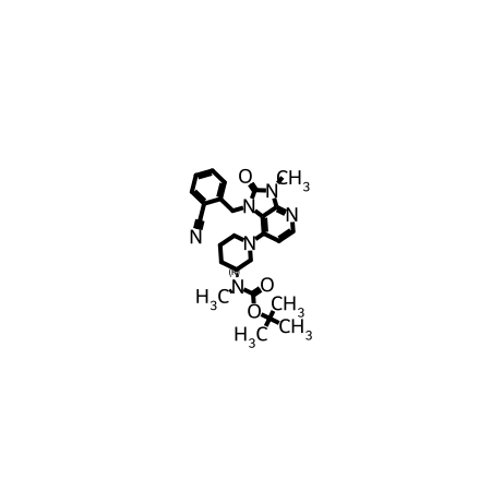 CN(C(=O)OC(C)(C)C)[C@@H]1CCCN(c2ccnc3c2n(Cc2ccccc2C#N)c(=O)n3C)C1